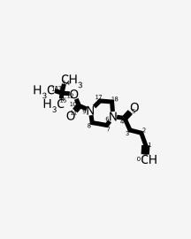 C#CCCC(=O)N1CCN(C(=O)OC(C)(C)C)CC1